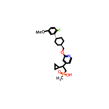 COc1ccc(F)c([C@H]2CC[C@H](COc3cc(C(CP(C)(=O)O)C4CC4)ccn3)CC2)c1